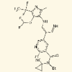 CCN(C(=O)c1cc(/C(C=N)=C/Nc2c(OC(F)F)c(C(F)(F)C(F)(F)F)nn2C)cnc1Cl)C1(C#N)CC1